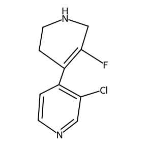 FC1=C(c2ccncc2Cl)CCNC1